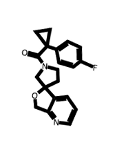 O=C(N1CCC2(C1)OCc1ncccc12)C1(c2ccc(F)cc2)CC1